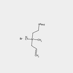 C=CC[N+](C)(C)CCCCCCC.[Br-]